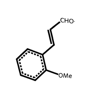 COc1ccccc1C=C[C]=O